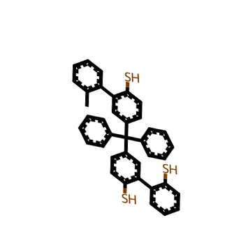 Cc1ccccc1-c1cc(C(c2ccccc2)(c2ccccc2)c2ccc(S)c(-c3ccccc3S)c2)ccc1S